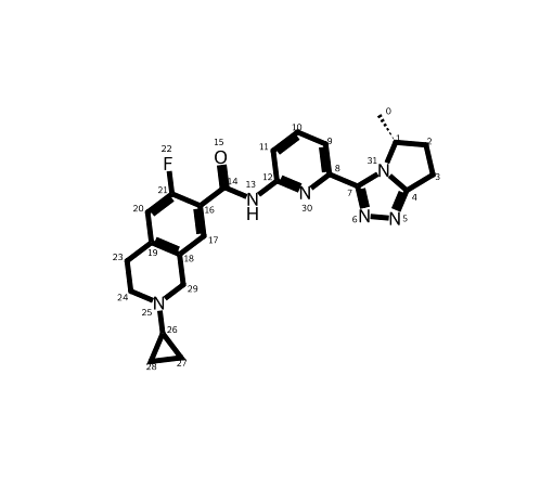 C[C@@H]1CCc2nnc(-c3cccc(NC(=O)c4cc5c(cc4F)CCN(C4CC4)C5)n3)n21